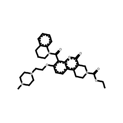 CCOC(=O)N1CCc2c(c(=O)oc3c(C(=O)N4CCCc5ccccc54)c(OCCN4CCN(C)CC4)ccc23)C1